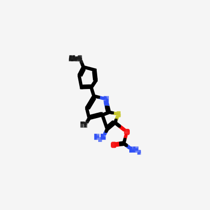 CCc1cc(-c2ccc(SC)cc2)nc2sc(OC(N)=O)c(N)c12